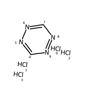 Cl.Cl.Cl.Cl.c1nncnn1